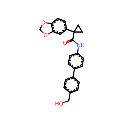 O=C(Nc1ccc(-c2ccc(CO)cc2)cc1)C1(c2ccc3c(c2)OCO3)CC1